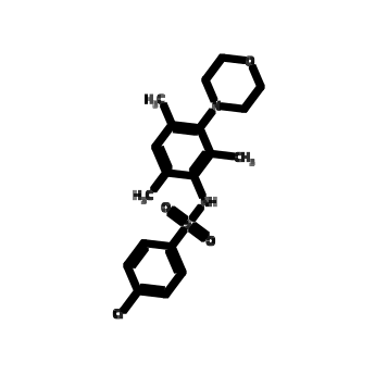 Cc1cc(C)c(N2CCOCC2)c(C)c1NS(=O)(=O)c1ccc(Cl)cc1